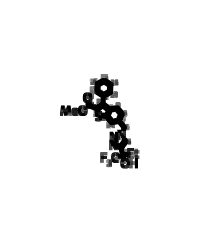 CCC(O)(c1cn(Cc2ccc3c(-c4ccccc4)c(C(=O)OC)sc3c2)nn1)C(F)(F)F